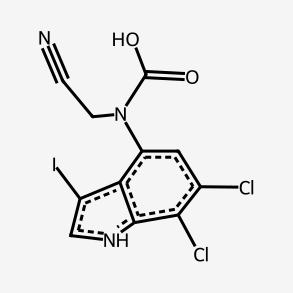 N#CCN(C(=O)O)c1cc(Cl)c(Cl)c2[nH]cc(I)c12